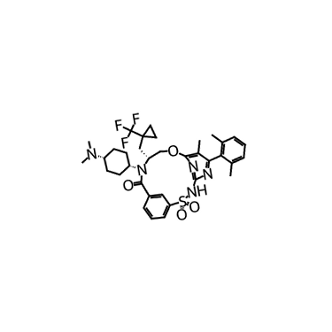 Cc1cccc(C)c1-c1nc2nc(c1C)OC[C@@H](CC1(C(F)(F)F)CC1)N([C@H]1CC[C@@H](N(C)C)CC1)C(=O)c1cccc(c1)S(=O)(=O)N2